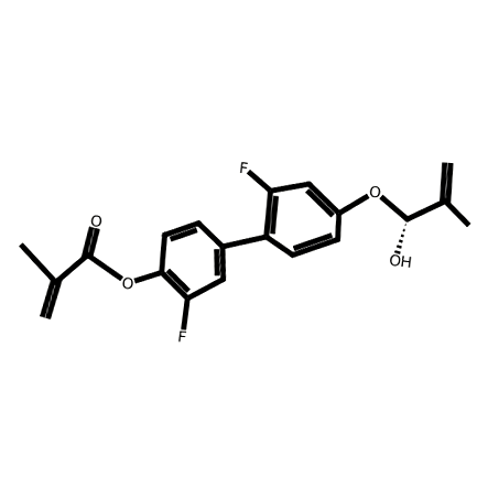 C=C(C)C(=O)Oc1ccc(-c2ccc(O[C@@H](O)C(=C)C)cc2F)cc1F